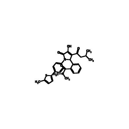 Cc1ccc(-c2ccc(N3C(=O)C(O)=C(C(=O)CC(C)C)C3c3ccccc3C(=O)N(C)C)cc2)s1